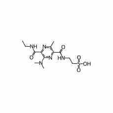 CCNC(=O)c1nc(C)c(C(=O)NCCS(=O)(=O)O)nc1N(C)C